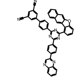 N#Cc1cc(C#N)cc(-c2ccc(-c3nc(-c4ccc(-c5cnc6ccccc6n5)cc4)nc(-c4cccc5oc6cc7ccccc7cc6c45)n3)cc2)c1